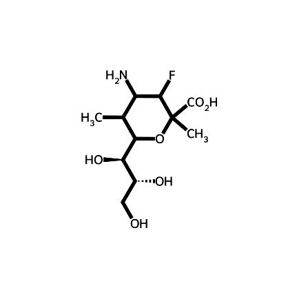 CC1C(N)C(F)C(C)(C(=O)O)OC1[C@H](O)[C@H](O)CO